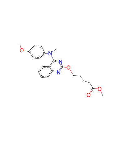 COC(=O)CCCCOc1nc(N(C)c2ccc(OC)cc2)c2ccccc2n1